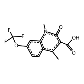 Cc1c(C(=O)O)c(=O)n(C)c2cc(OC(F)(F)F)ccc12